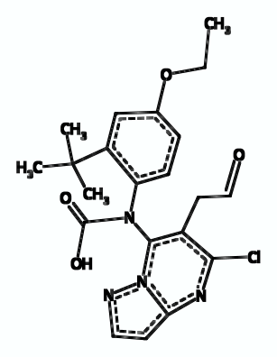 CCOc1ccc(N(C(=O)O)c2c(CC=O)c(Cl)nc3ccnn23)c(C(C)(C)C)c1